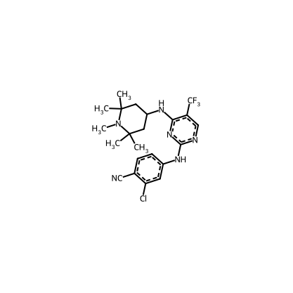 CN1C(C)(C)CC(Nc2nc(Nc3ccc(C#N)c(Cl)c3)ncc2C(F)(F)F)CC1(C)C